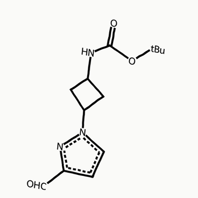 CC(C)(C)OC(=O)NC1CC(n2ccc(C=O)n2)C1